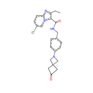 CCc1nc2ccc(Cl)cn2c1C(=O)NCc1ccc(N2CC3(CC(=O)C3)C2)cc1